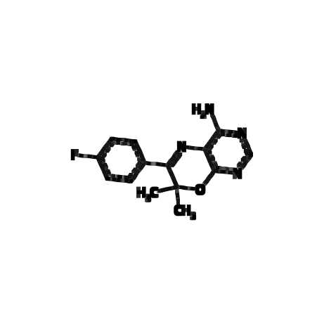 CC1(C)Oc2ncnc(N)c2N=C1c1ccc(F)cc1